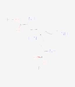 CC(C)(C)OC(=O)C(N)CCC(N)(/C=C/CN)CCC(N)C(=O)OC(C)(C)C